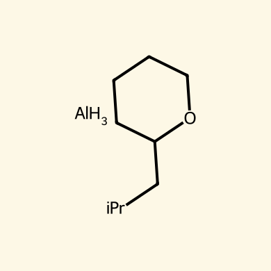 CC(C)CC1CCCCO1.[AlH3]